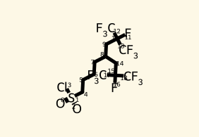 O=S(=O)(Cl)CCCCC(CC(F)(C(F)(F)F)C(F)(F)F)CC(F)(C(F)(F)F)C(F)(F)F